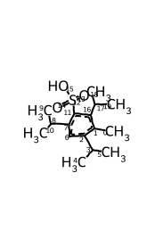 Cc1c(C(C)C)cc(C(C)C)c(S(=O)(=O)O)c1C(C)C